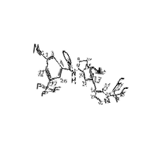 N#Cc1cc(C(=O)N[C@@H]2CCn3nc(-c4ccnc(C(F)(F)F)c4)cc32)cc(C(F)(F)F)c1